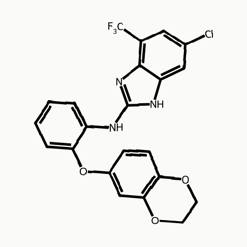 FC(F)(F)c1cc(Cl)cc2[nH]c(Nc3ccccc3Oc3ccc4c(c3)OCCO4)nc12